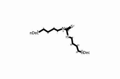 CCCCCCCCCCCCCCNC(=S)SCCCCCCCCCCCCCC